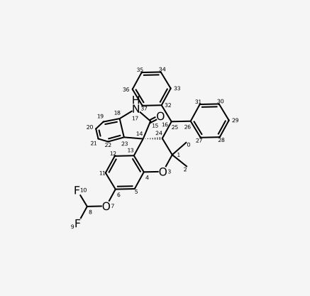 CC1(C)Oc2cc(OC(F)F)ccc2[C@@]2(C(=O)Nc3ccccc32)C1C(c1ccccc1)c1ccccc1